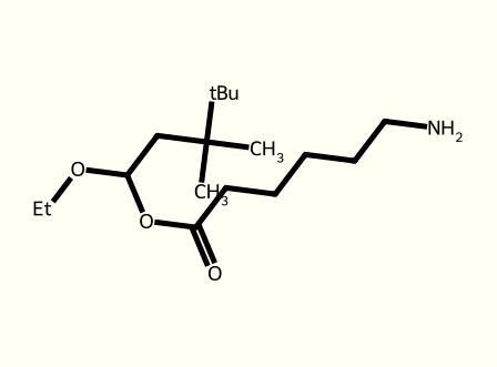 CCOC(CC(C)(C)C(C)(C)C)OC(=O)CCCCCN